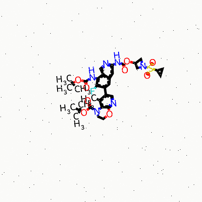 Cc1c(-c2cc3cc(NC(=O)OC4CN(S(=O)(=O)C5CC5)C4)ncc3c(NC(=O)OC(C)(C)C)c2F)cnc2c1N(C(=O)OC(C)(C)C)CCO2